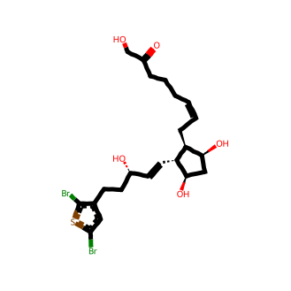 O=C(CO)CCC/C=C\C[C@@H]1[C@@H](/C=C/[C@@H](O)CCc2cc(Br)sc2Br)[C@H](O)C[C@@H]1O